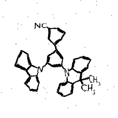 CC1(C)c2ccccc2N(c2cc(-c3cccc(C#N)c3)cc(-n3c4ccccc4c4ccccc43)c2)c2ccccc21